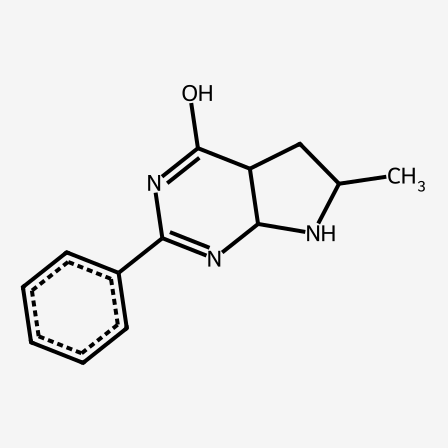 CC1CC2C(O)=NC(c3ccccc3)=NC2N1